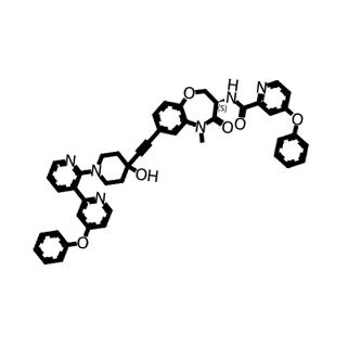 CN1C(=O)[C@@H](NC(=O)c2cc(Oc3ccccc3)ccn2)COc2ccc(C#CC3(O)CCN(c4ncccc4-c4cc(Oc5ccccc5)ccn4)CC3)cc21